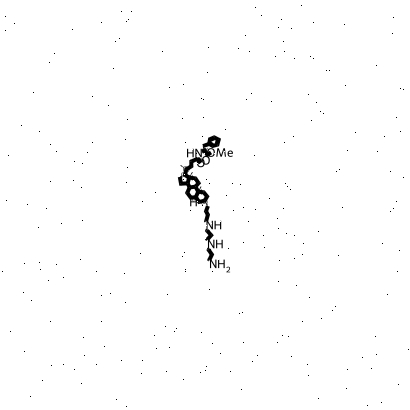 COC(=O)[C@@H](Cc1ccccc1)NC(=O)CC[C@@H](C)[C@H]1CCC2C3CC[C@@H]4C[C@@H](CCCCNCCCNCCCN)CC[C@]4(C)C3CC[C@@]21C